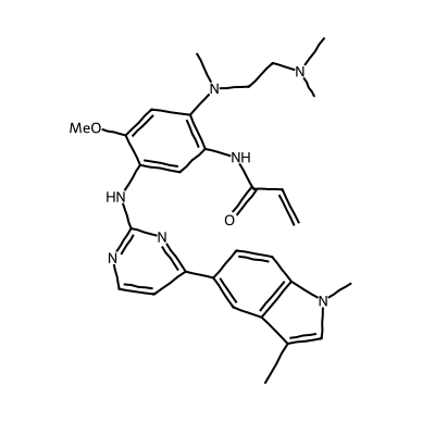 C=CC(=O)Nc1cc(Nc2nccc(-c3ccc4c(c3)c(C)cn4C)n2)c(OC)cc1N(C)CCN(C)C